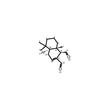 CC1(C)CCC[C@]2(C)[C@@H](C=O)C(C=O)=CC[C@@H]12